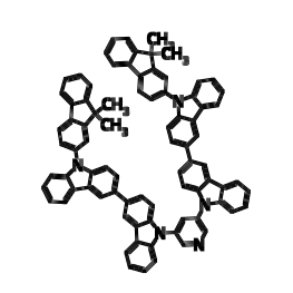 CC1(C)c2ccccc2-c2ccc(-n3c4ccccc4c4cc(-c5ccc6c(c5)c5ccccc5n6-c5cncc(-n6c7ccccc7c7cc(-c8ccc9c(c8)c8ccccc8n9-c8ccc9c(c8)C(C)(C)c8ccccc8-9)ccc76)c5)ccc43)cc21